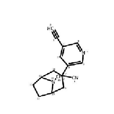 C#Cc1cncc(C2(C#N)CC3CCC(C2)N3C)c1